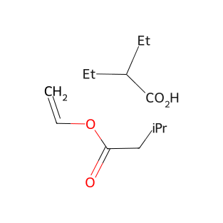 C=COC(=O)CC(C)C.CCC(CC)C(=O)O